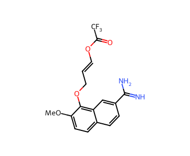 COc1ccc2ccc(C(=N)N)cc2c1OCC=COC(=O)C(F)(F)F